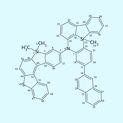 C[Si]1(C)c2cc(N3c4cc(-c5ccc6ccccc6c5)ccc4[Si]4(C)c5ccccc5-c5cccc3c54)ccc2-c2c1ccc1sc3ccccc3c21